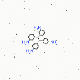 Nc1ccc(C(c2ccc(N)cc2)C(c2cccc(N)c2)c2cccc(N)c2)cc1